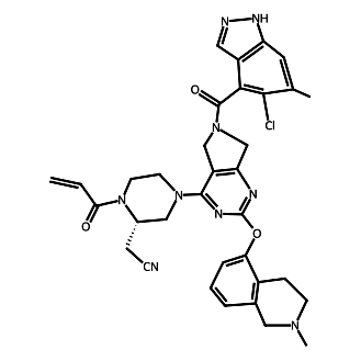 C=CC(=O)N1CCN(c2nc(Oc3cccc4c3CCN(C)C4)nc3c2CN(C(=O)c2c(Cl)c(C)cc4[nH]ncc24)C3)C[C@@H]1CC#N